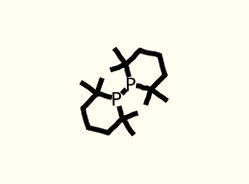 CC1(C)CCCC(C)(C)P1P1C(C)(C)CCCC1(C)C